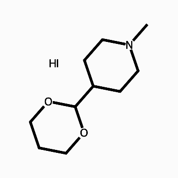 CN1CCC(C2OCCCO2)CC1.I